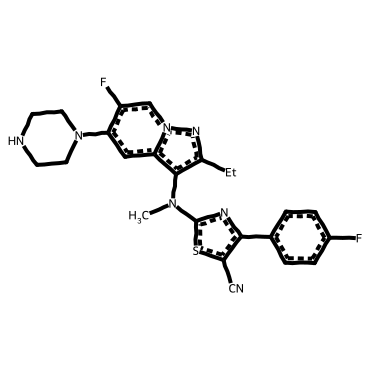 CCc1nn2cc(F)c(N3CCNCC3)cc2c1N(C)c1nc(-c2ccc(F)cc2)c(C#N)s1